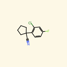 N#CC1(c2ccc(F)cc2Cl)CCCC1